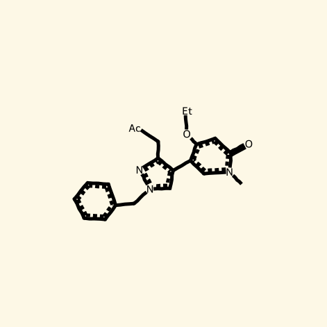 CCOc1cc(=O)n(C)cc1-c1cn(Cc2ccccc2)nc1CC(C)=O